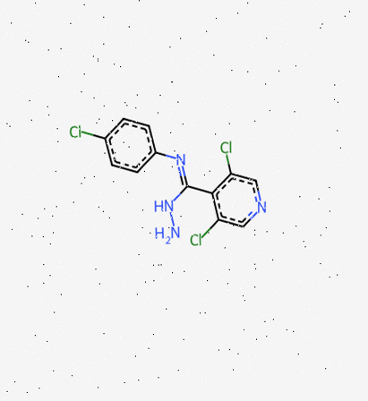 NNC(=Nc1ccc(Cl)cc1)c1c(Cl)cncc1Cl